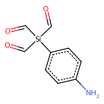 Nc1ccc([Si](C=O)(C=O)C=O)cc1